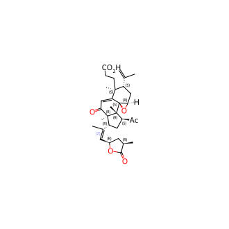 C=C(C)[C@@H]1C[C@H]2O[C@@]23C(=CC(=O)[C@]2(C)[C@@H](/C(C)=C\[C@H]4C[C@@H](C)C(=O)O4)C[C@H](C(C)=O)[C@]23C)[C@@]1(C)CCC(=O)O